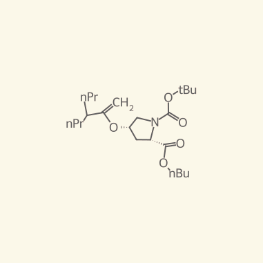 C=C(O[C@H]1C[C@@H](C(=O)OCCCC)N(C(=O)OC(C)(C)C)C1)C(CCC)CCC